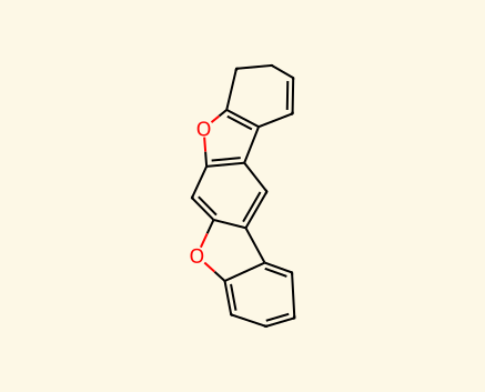 C1=Cc2c(oc3cc4oc5ccccc5c4cc23)CC1